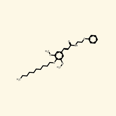 CCCCCCCCCCOc1c(OC)cc(C=CC(=O)NCCOc2ccccc2)cc1OC